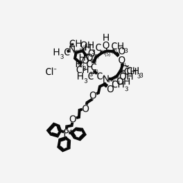 CC[C@H]1OC(=O)[C@H](C)[C@@H](O)[C@H](C)[C@@H](O[C@@H]2O[C@H](C)C[C@H](N(C)C)[C@H]2O)[C@](C)(O)C[C@@H](C)CN(C(=O)CCOCCOCCOCC[P+](c2ccccc2)(c2ccccc2)c2ccccc2)[C@H](C)[C@@H](O)[C@]1(C)O.[Cl-]